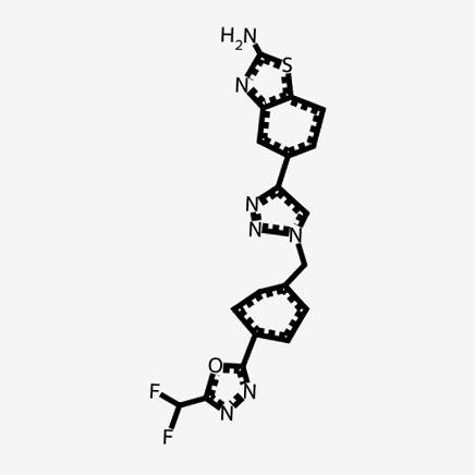 Nc1nc2cc(-c3cn(Cc4ccc(-c5nnc(C(F)F)o5)cc4)nn3)ccc2s1